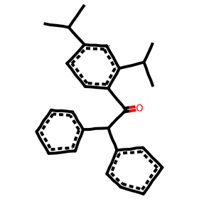 CC(C)c1[c]c(C(C)C)c(C(=O)C(c2ccccc2)c2ccccc2)cc1